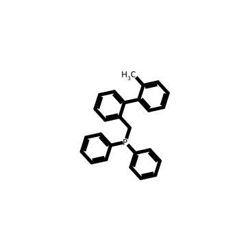 Cc1ccccc1-c1ccccc1CP(c1ccccc1)c1ccccc1